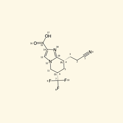 N#CCC[C@@H]1C[C@H](C(F)(F)F)Cn2cc(C(=O)O)nc21